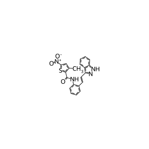 Cc1cc([N+](=O)[O-])sc1C(=O)Nc1ccccc1C=Cc1n[nH]c2ccccc12